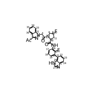 CC(=O)c1nn(CC(=O)N2C[C@H](F)C[C@H]2C(=O)Nc2cccc(-c3cccc4nc[nH]c34)c2F)c2ccccc12